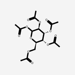 CC(=O)OC[C@H]1OC(OC(C)=O)[C@@H](OC(C)=O)[C@H](OC(C)=O)[C@@H]1OC(C)=O